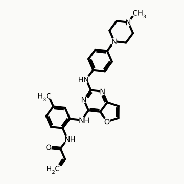 C=CC(=O)Nc1ccc(C)cc1Nc1nc(Nc2ccc(N3CCN(C)CC3)cc2)nc2ccoc12